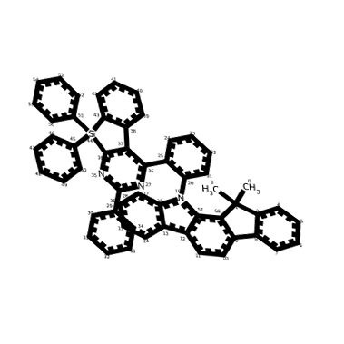 CC1(C)c2ccccc2-c2ccc3c4ccccc4n(-c4ccccc4-c4nc(-c5ccccc5)nc5c4-c4ccccc4[Si]5(c4ccccc4)c4ccccc4)c3c21